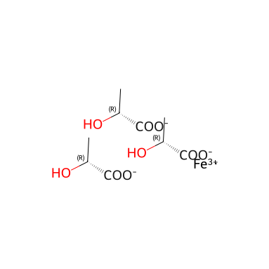 C[C@@H](O)C(=O)[O-].C[C@@H](O)C(=O)[O-].C[C@@H](O)C(=O)[O-].[Fe+3]